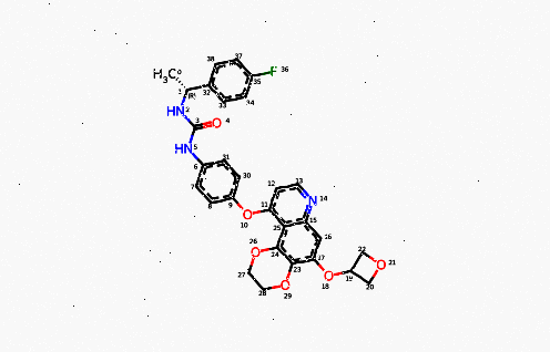 C[C@@H](NC(=O)Nc1ccc(Oc2ccnc3cc(OC4COC4)c4c(c23)OCCO4)cc1)c1ccc(F)cc1